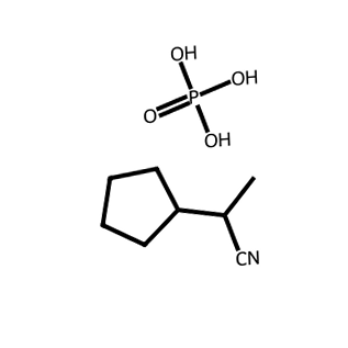 CC(C#N)C1CCCC1.O=P(O)(O)O